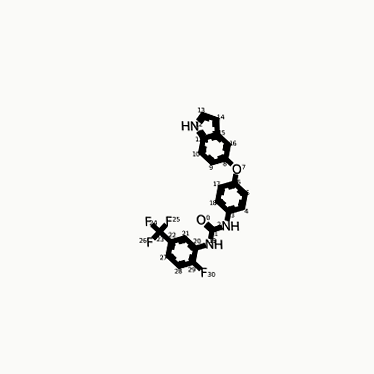 O=C(Nc1ccc(Oc2ccc3[nH]ccc3c2)cc1)Nc1cc(C(F)(F)F)ccc1F